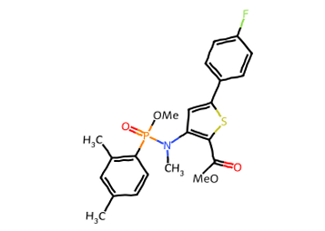 COC(=O)c1sc(-c2ccc(F)cc2)cc1N(C)P(=O)(OC)c1ccc(C)cc1C